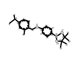 Cc1cc(C(C)C)ccc1COc1ccc(B2OC(C)(C)C(C)(C)O2)cc1